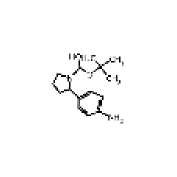 CC(C)(C)OC(O)N1CCCC1c1ccc(N)cc1